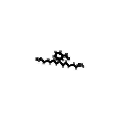 CCCCCCNCCCCCC.O=Cc1ccccc1